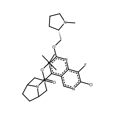 CN1CCC[C@H]1COc1nc(N2CC3CCC(C2)N3C(=O)OC(C)(C)C)c2cnc(Cl)c(F)c2n1